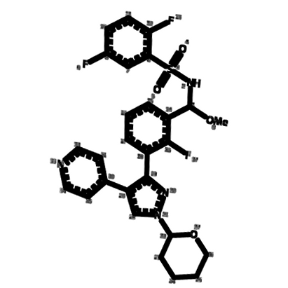 COC(NS(=O)(=O)c1cc(F)ccc1F)c1cccc(-c2nn(C3CCCCO3)cc2-c2ccncc2)c1F